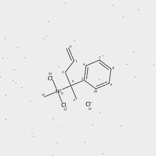 C=CCC(C)(c1ccccc1)[N+](C)(Cl)Cl.[Cl-]